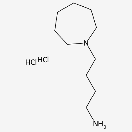 Cl.Cl.NCCCCN1CCCCCC1